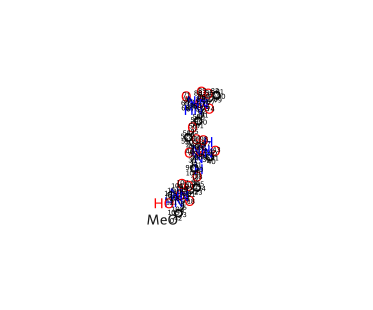 COc1ccc(CC(NC(=O)C2(CO)CCCN2)C(=O)NC(Cc2cccc(COc3ccc(CC(NC(=O)c4cccc(=O)[nH]4)C(=O)NC(Cc4cccc(COc5ccc(CC(NC(=O)C6CCCC(=O)N6)C(=O)NC(Cc6ccccc6)C(=O)C6(C)CO6)cc5)c4)C(=O)C4(C)CO4)cc3)c2)C(=O)C2(C)CO2)cc1